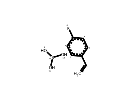 C=Cc1cc[c]([K])cc1.OB(O)O